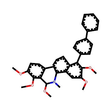 COc1ccc2c(c1OC)C(OC)N(C)c1c-2ccc2c(-c3ccc(-c4ccccc4)cc3)c(OC)c(OC)cc12